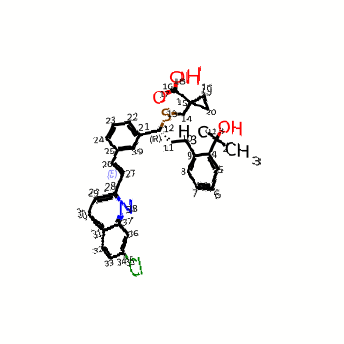 CC(C)(O)c1ccccc1CC[C@@H](SCC1(C(=O)O)CC1)c1cccc(/C=C/c2ccc3ccc(Cl)cc3n2)c1